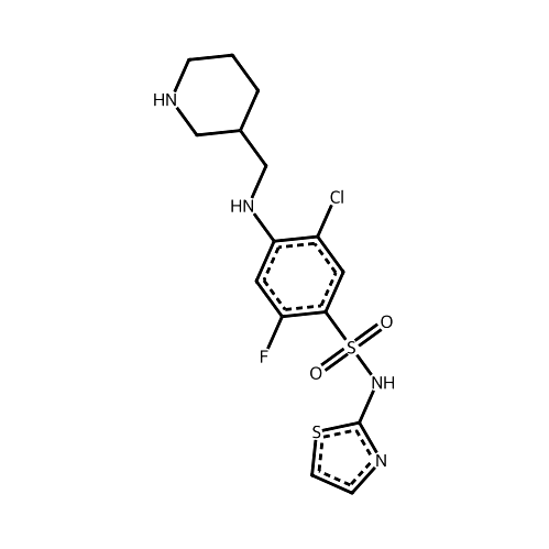 O=S(=O)(Nc1nccs1)c1cc(Cl)c(NCC2CCCNC2)cc1F